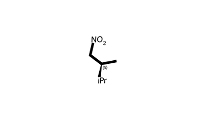 CC(C)[C@H](C)C[N+](=O)[O-]